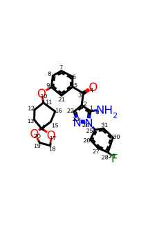 Nc1c(C(=O)c2cccc(OC3CCC4(CC3)OCCO4)c2)cnn1-c1ccc(F)cc1